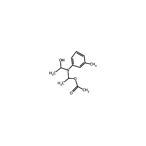 CC(=O)OC(C)N(c1cccc(C)c1)C(C)O